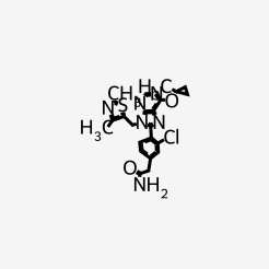 Cc1nc(C)c(Cn2c(-c3ccc(CC(N)=O)cc3Cl)nc3c(OC4(C)CC4)ncnc32)s1